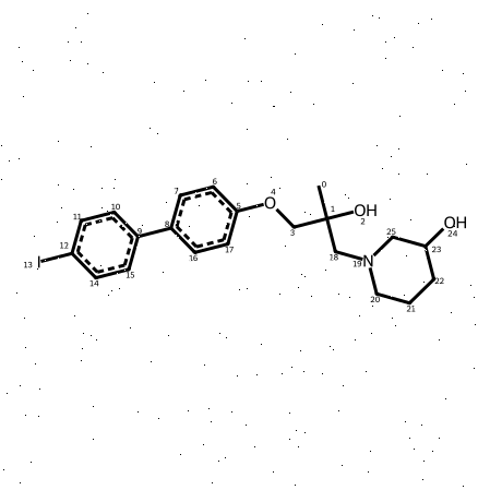 CC(O)(COc1ccc(-c2ccc(I)cc2)cc1)CN1CCCC(O)C1